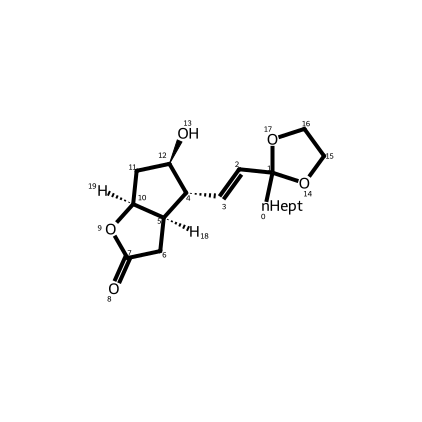 CCCCCCCC1(/C=C/[C@@H]2[C@H]3CC(=O)O[C@H]3C[C@H]2O)OCCO1